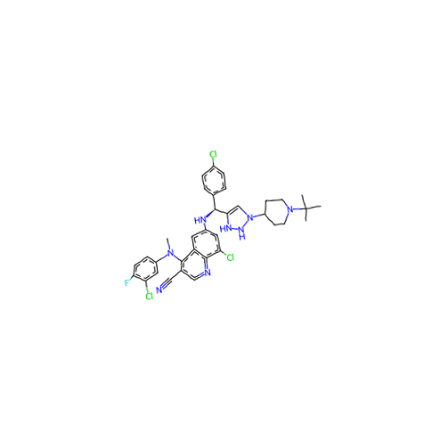 CN(c1ccc(F)c(Cl)c1)c1c(C#N)cnc2c(Cl)cc(N[C@H](C3=CN(C4CCN(C(C)(C)C)CC4)NN3)c3ccc(Cl)cc3)cc12